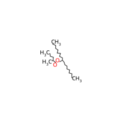 CCCCCCCCCC(CCCCCCCCC)COC(=O)C(C)CCCC